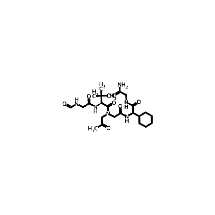 CC(=O)CN(CC(=O)NC(C(=O)NCC(N)=O)C1CCCCC1)C(=O)[C@@H](NC(=O)CNC=O)C(C)(C)C